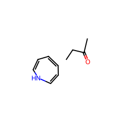 C1=CC=CNC=C1.CCC(C)=O